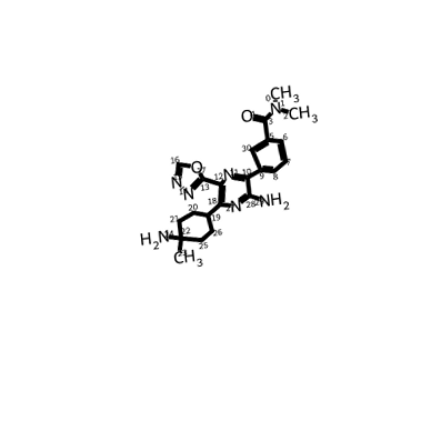 CN(C)C(=O)c1cccc(-c2nc(-c3nnco3)c(C3CCC(C)(N)CC3)nc2N)c1